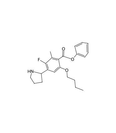 CCCCOc1cc(C2CCCN2)c(F)c(C)c1C(=O)Oc1ccccc1